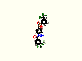 O=C(N[C@H]1CC[C@H](CS(=O)(=O)c2cccc(C(F)(F)F)c2)CC1)c1ccc(F)c(C(F)(F)F)c1